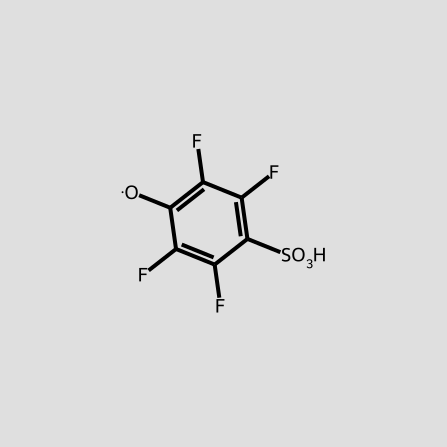 [O]c1c(F)c(F)c(S(=O)(=O)O)c(F)c1F